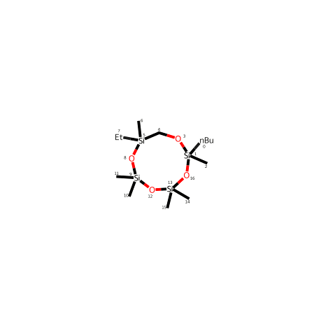 CCCC[Si]1(C)OC[Si](C)(CC)O[Si](C)(C)O[Si](C)(C)O1